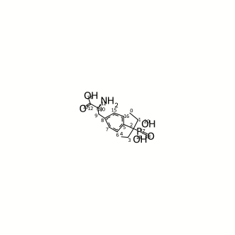 CCC(CC)(c1ccc(C[C@H](N)C(=O)O)cc1)P(=O)(O)O